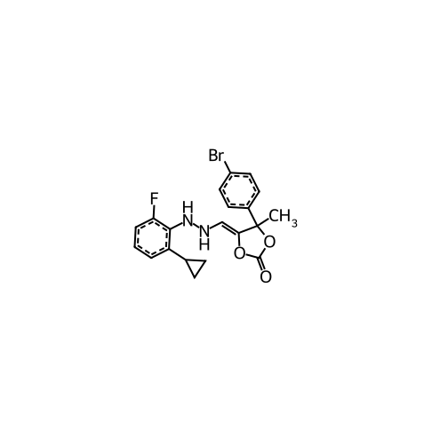 CC1(c2ccc(Br)cc2)OC(=O)OC1=CNNc1c(F)cccc1C1CC1